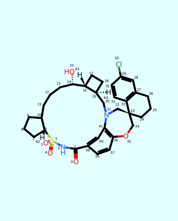 O=C1NS(=O)(=O)[C@@H]2CCCC2CCC[C@H](O)[C@@H]2CC[C@H]2CN2C[C@@]3(CCCc4cc(Cl)ccc43)COc3ccc1cc32